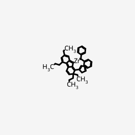 CCCc1cc(CC)cc2c1=C1C=CC(CC)(CCC)C(C3=CC=CC3)=C1[C]=2[Zr]=[C](c1ccccc1)c1ccccc1